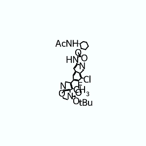 CC(=O)N[C@@H]1CCCC[C@H]1OC(=O)Nc1cc2cc(-c3cnc4c(c3C)N(C(=O)OC(C)(C)C)CCO4)c(F)c(Cl)c2cn1